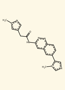 Cn1cc(CC(=O)Nc2cc3cc(-c4cncn4C)ccc3nn2)cn1